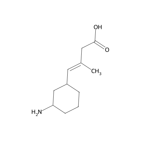 C/C(=C\C1CCCC(N)C1)CC(=O)O